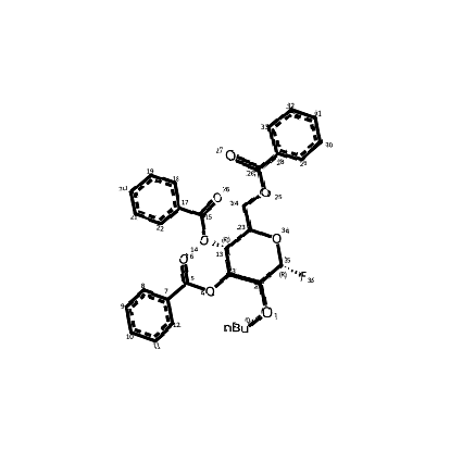 CCCCOC1C(OC(=O)c2ccccc2)[C@H](OC(=O)c2ccccc2)C(COC(=O)c2ccccc2)O[C@@H]1F